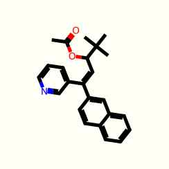 CC(=O)OC(C=C(c1cccnc1)c1ccc2ccccc2c1)C(C)(C)C